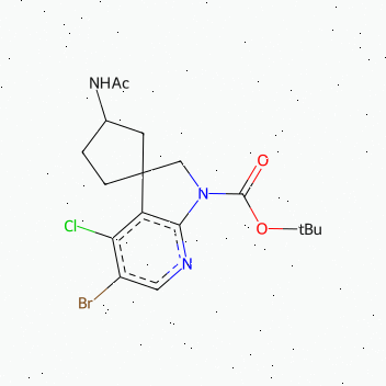 CC(=O)NC1CCC2(C1)CN(C(=O)OC(C)(C)C)c1ncc(Br)c(Cl)c12